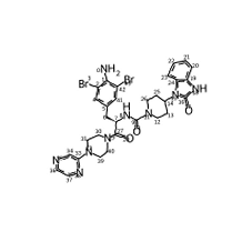 Nc1c(Br)cc(C[C@@H](NC(=O)N2CCC(n3c(=O)[nH]c4ccccc43)CC2)C(=O)N2CCN(c3cnccn3)CC2)cc1Br